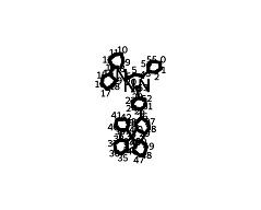 c1ccc(-c2cc(-n3c4ccccc4c4ccccc43)nc(-c3ccc(-c4ccc5c(c4)C4(c6ccccc6-c6ccccc64)c4ccccc4-5)cc3)n2)cc1